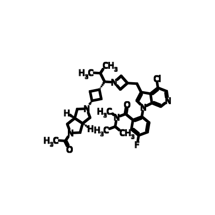 CC(=O)N1C[C@@H]2CN([C@H]3C[C@@H](C(C(C)C)N4CC(Cc5cn(-c6ccc(F)cc6C(=O)N(C)C(C)C)c6cncc(Cl)c56)C4)C3)C[C@H]2C1